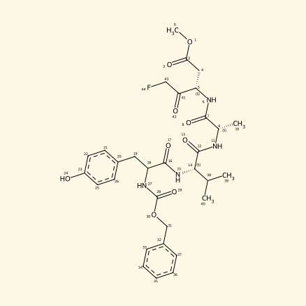 COC(=O)C[C@H](NC(=O)[C@H](C)NC(=O)[C@@H](NC(=O)C(Cc1ccc(O)cc1)NC(=O)OCc1ccccc1)C(C)C)C(=O)CF